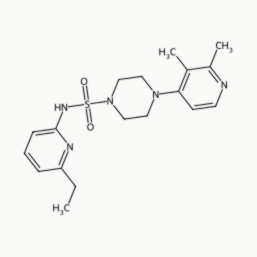 CCc1cccc(NS(=O)(=O)N2CCN(c3ccnc(C)c3C)CC2)n1